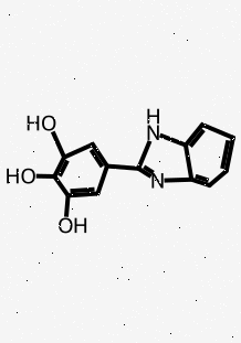 Oc1cc(-c2nc3ccccc3[nH]2)cc(O)c1O